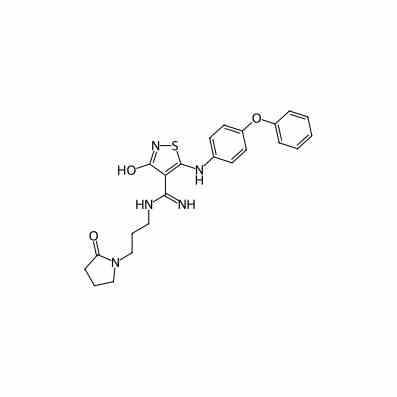 N=C(NCCCN1CCCC1=O)c1c(O)nsc1Nc1ccc(Oc2ccccc2)cc1